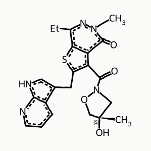 CCc1nn(C)c(=O)c2c(C(=O)N3C[C@](C)(O)CO3)c(Cc3c[nH]c4ncccc34)sc12